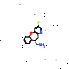 NC[C@H]1Cc2ncc(F)cc2Oc2ccccc21